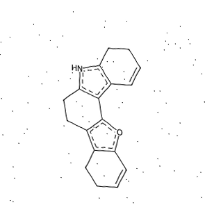 C1=Cc2c([nH]c3c2-c2oc4c(c2CC3)CCC=C4)CC1